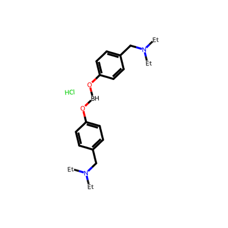 CCN(CC)Cc1ccc(OBOc2ccc(CN(CC)CC)cc2)cc1.Cl